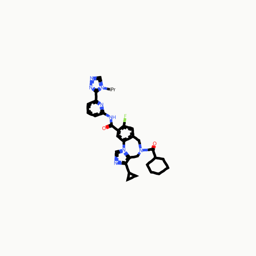 CC(C)n1cnnc1-c1cccc(NC(=O)c2cc3c(cc2F)CN(C(=O)C2CCCCC2)Cc2c(C4CC4)ncn2-3)n1